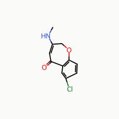 CNC1=CC(=O)c2cc(Cl)ccc2OC1